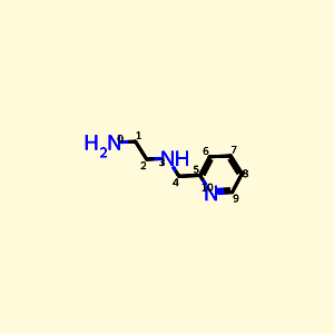 NCCNCc1ccccn1